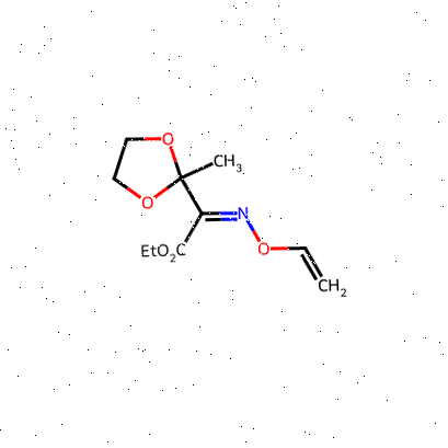 C=CON=C(C(=O)OCC)C1(C)OCCO1